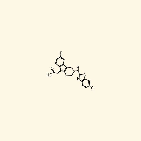 O=C(O)Cn1c2c(c3cc(F)ccc31)CC(Nc1nc3ccc(Cl)cc3s1)CC2